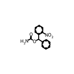 NC(=O)OC(c1ccccc1)c1ccccc1[N+](=O)[O-]